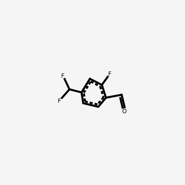 O=Cc1ccc(C(F)F)cc1F